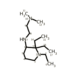 CCN1CCCC(NCCN(C)C)C1(CC)CC